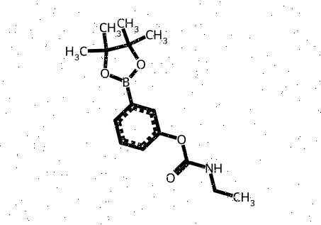 CCNC(=O)Oc1cccc(B2OC(C)(C)C(C)(C)O2)c1